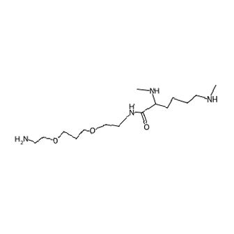 CNCCCCC(NC)C(=O)NCCOCCCOCCN